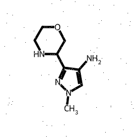 Cn1cc(N)c(C2COCCN2)n1